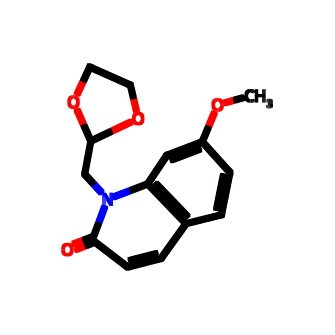 COc1ccc2ccc(=O)n(CC3OCCO3)c2c1